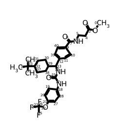 COC(=O)CCNC(=O)c1ccc(C(NC(=O)Nc2ccc(OC(F)(F)F)cc2)C2CCC(C(C)(C)C)CC2)cc1